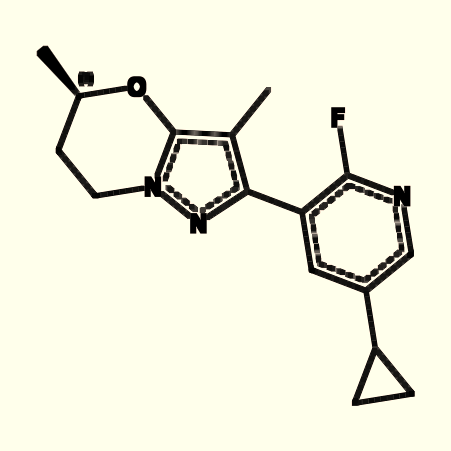 Cc1c(-c2cc(C3CC3)cnc2F)nn2c1O[C@H](C)CC2